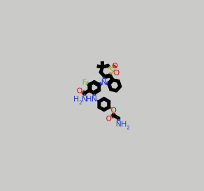 CC1(C)Cc2c(c3c(n2-c2cc(F)c(C(N)=O)c(N[C@H]4CC[C@H](OC(=O)CN)CC4)c2)CCCC3)S(=O)(=O)C1